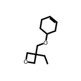 CCC1(COC2CC=CCC2)COC1